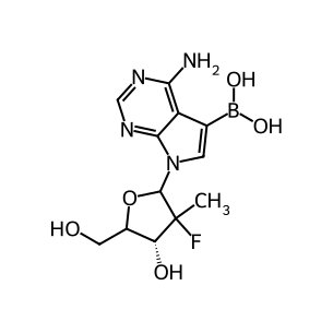 CC1(F)C(n2cc(B(O)O)c3c(N)ncnc32)OC(CO)[C@H]1O